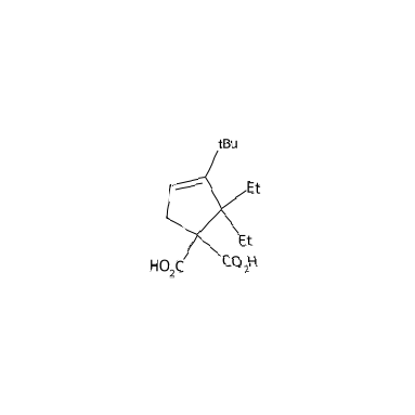 CCC1(CC)C(C(C)(C)C)=CCC1(C(=O)O)C(=O)O